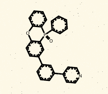 O=P1(c2ccccc2)c2ccccc2Oc2ccc(-c3cccc(-c4ccncc4)c3)cc21